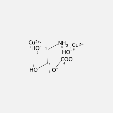 NCCO.O=C([O-])[O-].[Cu+2].[Cu+2].[OH-].[OH-]